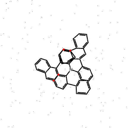 c1ccc(-c2ccccc2N(c2ccccc2-c2cccc3ccccc23)c2ccccc2-c2cc3ccccc3c3ccccc23)cc1